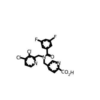 O=C(O)c1ccc(CN(Cc2nccc(Cl)c2Cl)C(=O)c2cc(F)cc(F)c2)cn1